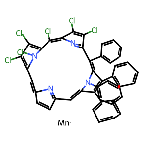 ClC1=C(Cl)c2nc1c(Cl)c1c(Cl)c(Cl)c(cc3nc(cc4c(-c5ccccc5)c(-c5ccccc5)c(c2-c2ccccc2)n4-c2ccccc2)C=C3)n1Cl.[Mn]